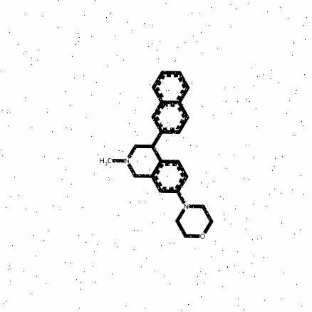 CN1Cc2cc(N3CCOCC3)ccc2C(c2ccc3ccccc3c2)C1